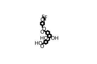 O=C(O)c1ccc(Cc2c(O)cc3ccc(C(=O)OCc4ccc(OC(F)(F)F)cc4)cc3c2O)cc1